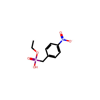 CCOP(=O)(O)Cc1ccc([N+](=O)[O-])cc1